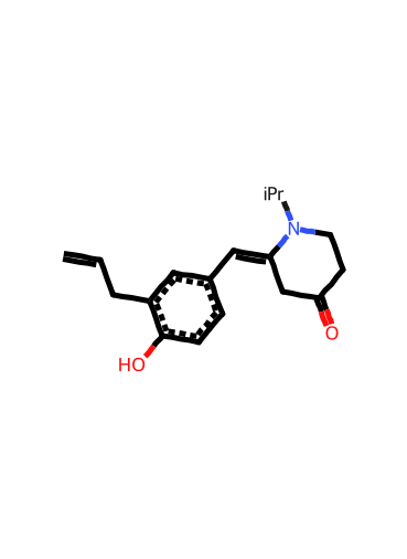 C=CCc1cc(C=C2CC(=O)CCN2C(C)C)ccc1O